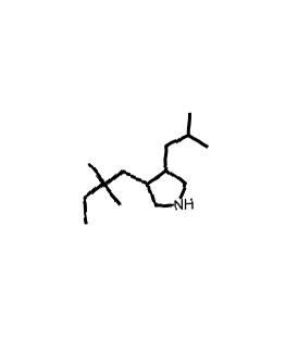 CCC(C)(C)CC1CNCC1CC(C)C